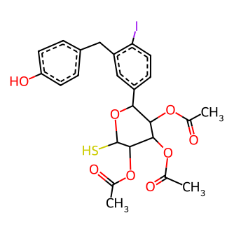 CC(=O)OC1C(S)OC(c2ccc(I)c(Cc3ccc(O)cc3)c2)C(OC(C)=O)C1OC(C)=O